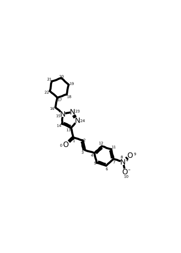 O=C(/C=C/c1ccc([N+](=O)[O-])cc1)c1cn(CC2CCCCC2)nn1